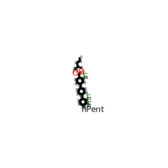 C/C=C/C1COC(c2ccc(-c3ccc(-c4ccc(CCCCC)c(F)c4F)cc3)cc2F)OC1